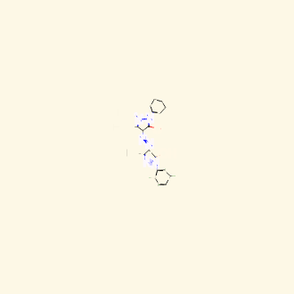 CCc1nn(-c2c(F)c(F)cc(F)c2F)c(O)c1/N=N/c1c(C)n(C)n(-c2ccccc2)c1=O